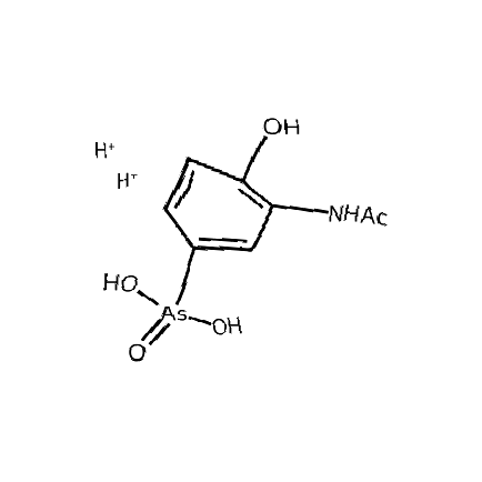 CC(=O)Nc1cc([As](=O)(O)O)ccc1O.[H+].[H+]